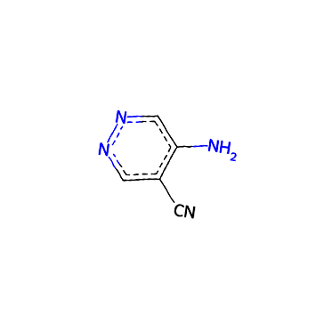 N#Cc1cnncc1N